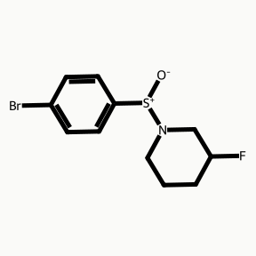 [O-][S+](c1ccc(Br)cc1)N1CCCC(F)C1